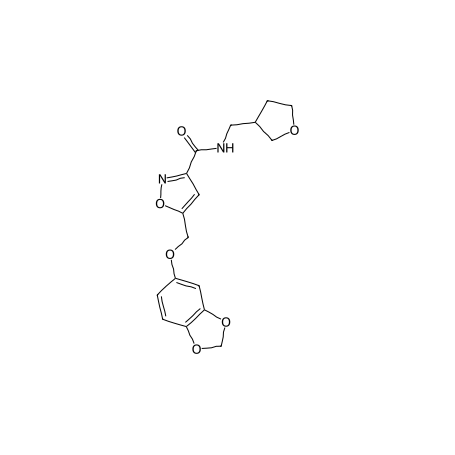 O=C(NCC1CCOC1)c1cc(COc2ccc3c(c2)OCO3)on1